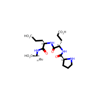 CC[C@H](C)[C@H](NC(=O)[C@H](CCC(=O)O)NC(=O)[C@H](CCC(=O)O)NC(=O)[C@@H]1CCCN1)C(=O)O